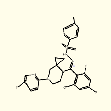 Cc1ccc(S(=O)(=O)N/N=C(/c2c(Cl)cc(F)cc2Cl)N2CCN(c3ccc(F)cn3)CC23CC3)cc1